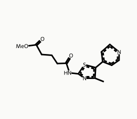 COC(=O)CCCC(=O)Nc1nc(C)c(-c2ccncc2)s1